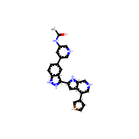 CCCC(=O)Nc1cncc(-c2ccc3[nH]nc(-c4cc5c(-c6ccsc6)cncc5[nH]4)c3c2)c1